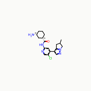 CC1Cc2c(-c3cc(NC(=O)[C@H]4CCC[C@@H](N)C4)ncc3Cl)cnn2C1